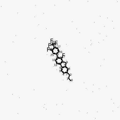 CCCc1ccc2c(c1)Cc1c-2ccc(-c2ccc(C(F)(F)F)c(F)c2)c1F